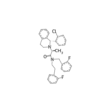 C[C@@H](C(=O)N(CCc1ccccc1F)Cc1ccccc1F)N1CCc2ccccc2[C@@H]1c1ccccc1Cl